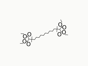 CCOC(=O)C(C(=O)OCC)C(C)(C)CCCCCCCCCCC(C)(C)C(C(=O)OCC)C(=O)OCC